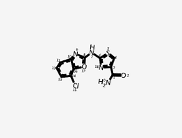 NC(=O)c1csc(Nc2nc3cccc(Cl)c3o2)n1